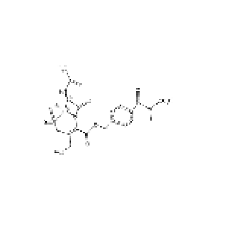 CC(=O)OCC1=C(C(=O)OCc2ccc(C(=O)N(C)C(=O)O)cc2)N2C(=O)[C@H](NC(=O)C(F)(F)F)[C@@H]2S(=O)(=O)C1